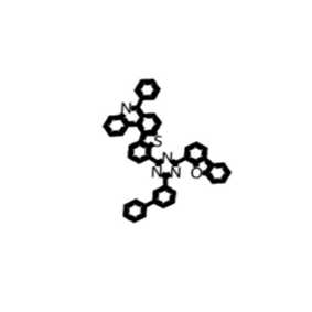 c1ccc(-c2cccc(-c3nc(-c4cccc5c4oc4ccccc45)nc(-c4cccc5c4sc4ccc6c(-c7ccccc7)nc7ccccc7c6c45)n3)c2)cc1